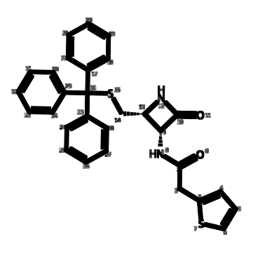 O=C(Cc1cccs1)N[C@H]1C(=O)N[C@H]1CSC(c1ccccc1)(c1ccccc1)c1ccccc1